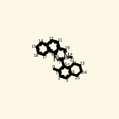 Cc1ccc2c(c1-c1nc3c(ccc4ccccc43)c[n+]1C)CCCC2